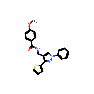 O=C(NCc1cn(-c2ccccc2)nc1-c1cccs1)c1ccc(OC(F)(F)F)cc1